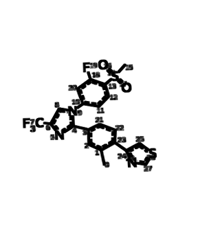 Cc1cc(-c2nc(C(F)(F)F)cn2-c2ccc(S(C)(=O)=O)c(F)c2)ccc1-c1cscn1